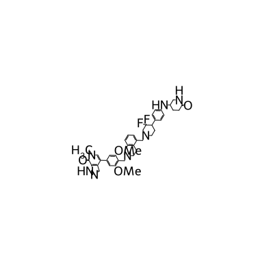 COc1cc(-c2cn(C)c(=O)c3[nH]ncc23)cc(OC)c1CN1CCc2c(cccc2CN2CCC(c3ccc(NC4CCC(=O)NC4)cc3)C(F)(F)C2)C1